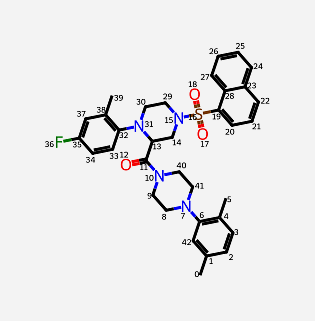 Cc1ccc(C)c(N2CCN(C(=O)C3CN(S(=O)(=O)c4cccc5ccccc45)CCN3c3ccc(F)cc3C)CC2)c1